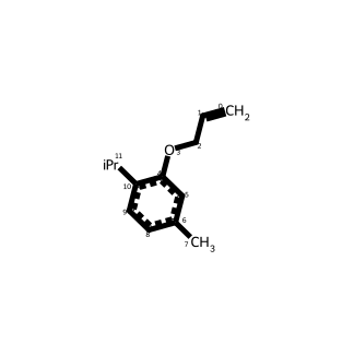 C=CCOc1cc(C)ccc1C(C)C